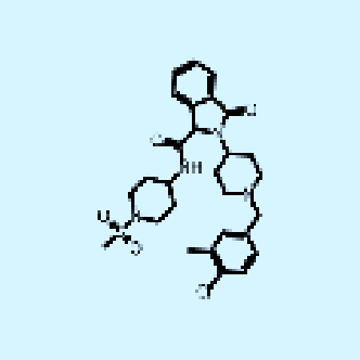 Cc1cc(CN2CCC(N3C(=O)c4ccccc4C3C(=O)NC3CCN(S(C)(=O)=O)CC3)CC2)ccc1Cl